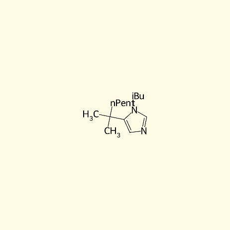 CCCCCC(C)(C)c1cncn1C(C)CC